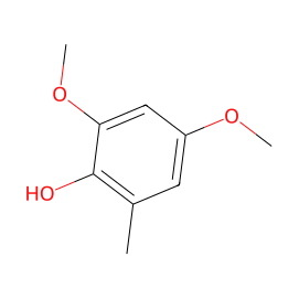 COc1cc(C)c(O)c(OC)c1